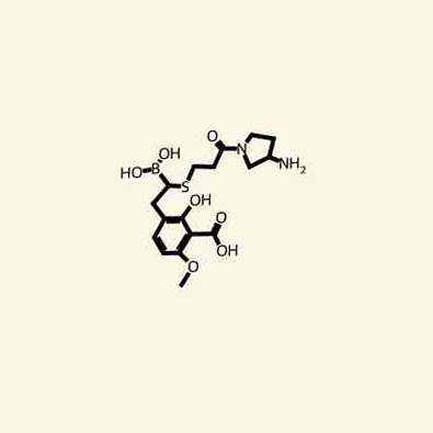 COc1ccc(CC(SCCC(=O)N2CCC(N)C2)B(O)O)c(O)c1C(=O)O